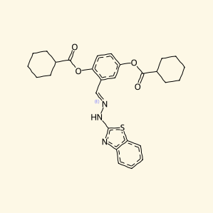 O=C(Oc1ccc(OC(=O)C2CCCCC2)c(/C=N/Nc2nc3ccccc3s2)c1)C1CCCCC1